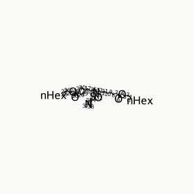 CCCCCC/C=C\COC(=O)CCCCCCCN(CCCc1ccc(C(=O)OC/C=C\CCCCCC)cc1)C(=O)SCCN(C)C